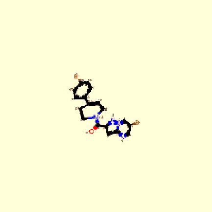 O=C(c1cc2ncc(Br)cn2n1)N1CC=C(c2ccc(Br)cc2)CC1